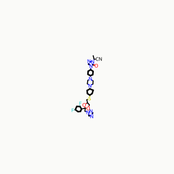 CC(C#N)n1ncn(-c2ccc(N3CCN(c4ccc(SCC5COC(Cn6cncn6)(c6ccc(F)cc6F)O5)cc4)CC3)cc2)c1=O